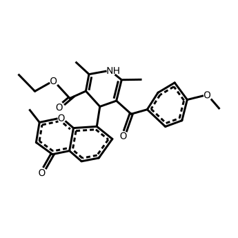 CCOC(=O)C1=C(C)NC(C)=C(C(=O)c2ccc(OC)cc2)C1c1cccc2c(=O)cc(C)oc12